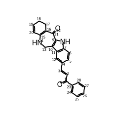 O=C(/C=C/c1ccc2[nH]c3c(c2c1)CNC1=C(CCC=C1)C3=O)c1ccccc1